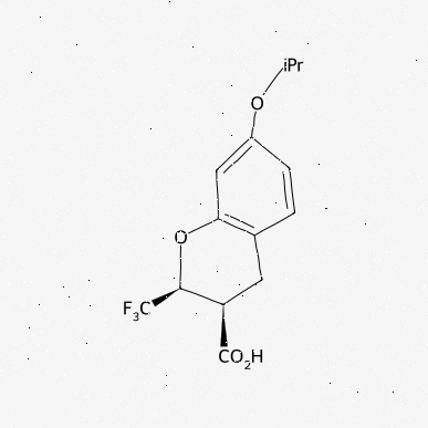 CC(C)Oc1ccc2c(c1)O[C@H](C(F)(F)F)[C@H](C(=O)O)C2